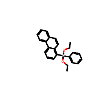 CCO[Si](OCC)(c1ccccc1)c1cccc2c1ccc1ccccc12